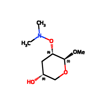 CO[C@H]1OC[C@H](O)C[C@@H]1ON(C)C